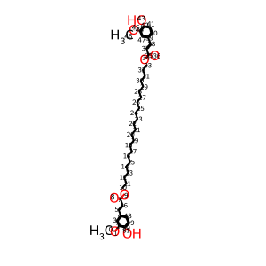 COc1cc(C=CC(=O)OCCCCCCCCCCCCCCCCCCCCCCCCOC(=O)C=Cc2ccc(O)c(OC)c2)ccc1O